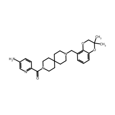 CC1(C)COc2c(CN3CCC4(CC3)CCN(C(=O)c3ccc(N)cn3)CC4)cccc2O1